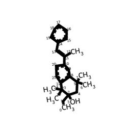 CCC1(O)CC(C)(C)c2cc(C(C)=Cc3ccccc3)ccc2C1(C)C